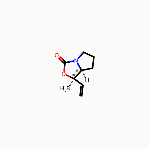 B[C@]1(C=C)OC(=O)N2CCC[C@H]21